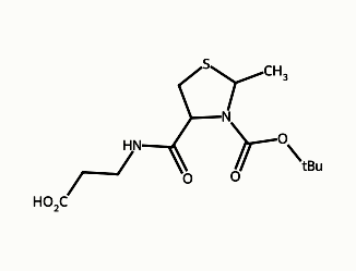 CC1SCC(C(=O)NCCC(=O)O)N1C(=O)OC(C)(C)C